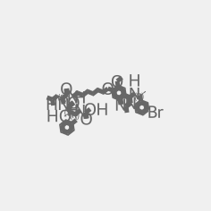 COc1cc2c(N[C@H](C)c3cccc(Br)c3)nc(C)nc2cc1OCCCCCCNC(=O)[C@H](CC(C)C)NC(=O)[C@@H](O)[C@@H](Cc1ccccc1)NC(=O)O